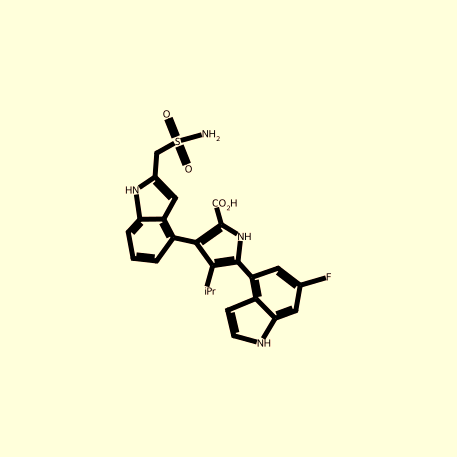 CC(C)c1c(-c2cc(F)cc3[nH]ccc23)[nH]c(C(=O)O)c1-c1cccc2[nH]c(CS(N)(=O)=O)cc12